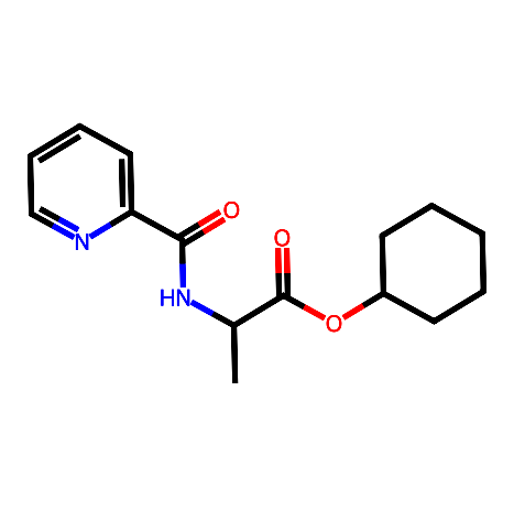 CC(NC(=O)c1ccccn1)C(=O)OC1CCCCC1